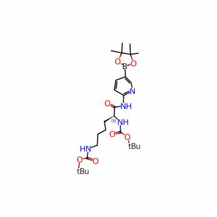 CC(C)(C)OC(=O)NCCCC[C@H](NC(=O)OC(C)(C)C)C(=O)Nc1ccc(B2OC(C)(C)C(C)(C)O2)cn1